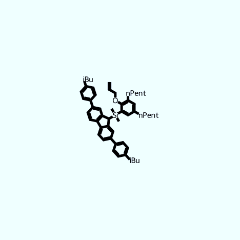 C=CCOc1c(CCCCC)cc(CCCCC)cc1[Si](C)(C)C1c2cc(-c3ccc(C(C)CC)cc3)ccc2-c2ccc(-c3ccc(C(C)CC)cc3)cc21